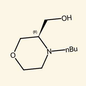 CCCCN1CCOC[C@H]1CO